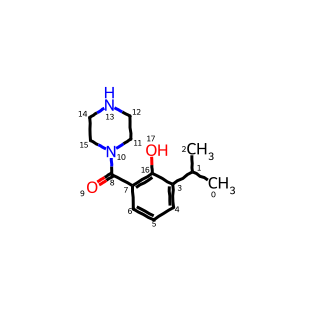 CC(C)c1cccc(C(=O)N2CCNCC2)c1O